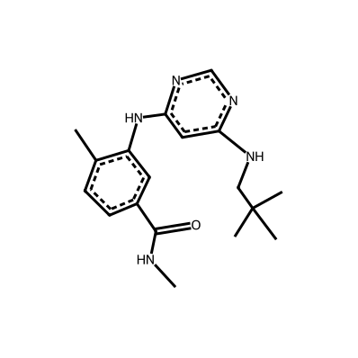 CNC(=O)c1ccc(C)c(Nc2cc(NCC(C)(C)C)ncn2)c1